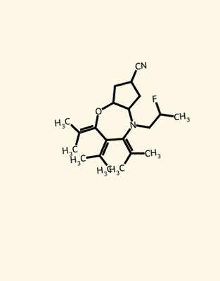 CC(C)=C1OC2CC(C#N)CC2N(CC(C)F)C(=C(C)C)C1=C(C)C